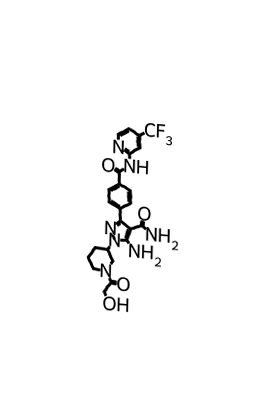 NC(=O)c1c(-c2ccc(C(=O)Nc3cc(C(F)(F)F)ccn3)cc2)nn(C2CCCN(C(=O)CO)C2)c1N